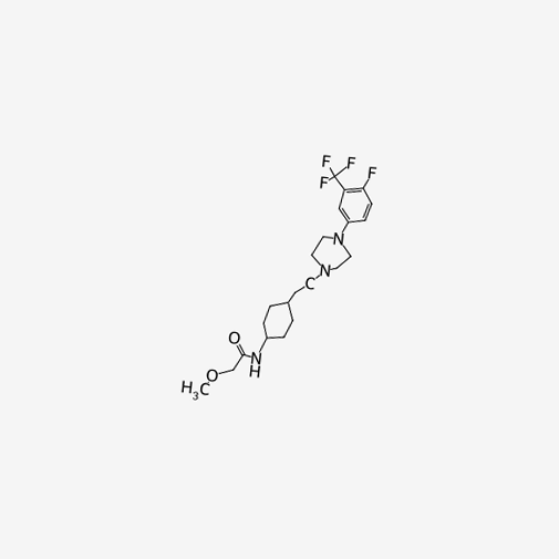 COCC(=O)NC1CCC(CCN2CCN(c3ccc(F)c(C(F)(F)F)c3)CC2)CC1